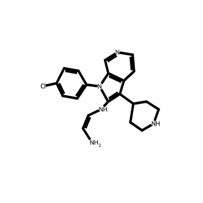 N/C=C\Nc1c(C2CCNCC2)c2ccncc2n1-c1ccc(Cl)cc1